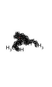 COc1ccc(Sc2ccc(Oc3ccc(S(=O)(=O)c4ccc(Oc5ccc(C6(c7ccc(Oc8ccc(S(=O)(=O)c9ccc(C)c(SOOO)c9)cc8S(=O)(=O)O)cc7)c7ccccc7-c7ccccc76)cc5)c(SOOO)c4)cc3S(=O)(=O)O)cc2)cc1